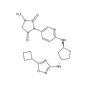 CN1CC(=O)N(c2ccc(N[C@H]3CC[C@H](Nc4noc(C5CCC5)n4)C3)nc2)C1=O